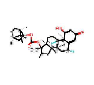 C[C@@H]1C[C@H]2[C@@H]3C[C@H](F)C4=CC(=O)C=C(O)[C@]4(C)C3(F)CC[C@]2(C)[C@]1(OC(=O)O[C@H]1C[C@H]2CC[C@]1(C)C2(C)C)C(=O)O